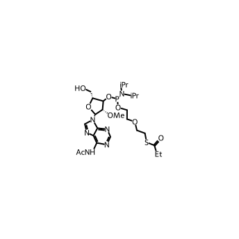 CCC(=O)SCCOCCOP(OC1[C@@H](CO)O[C@@H](n2cnc3c(NC(C)=O)ncnc32)[C@H]1OC)N(C(C)C)C(C)C